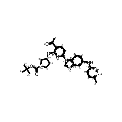 CC(=O)c1ccc(-n2cnc3cc(Nc4ccc(C)nn4)ccc32)nc1O[C@H]1CCN(C(=O)OC(C)(C)C)C1